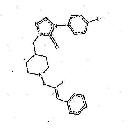 C/C(=C\c1ccccc1)CN1CCC(Cn2ncn(-c3ccc(Br)cc3)c2=O)CC1